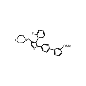 COc1cccc(-c2ccc(-n3ncc(CN4CCOCC4)c3-c3ccccc3F)cc2)c1